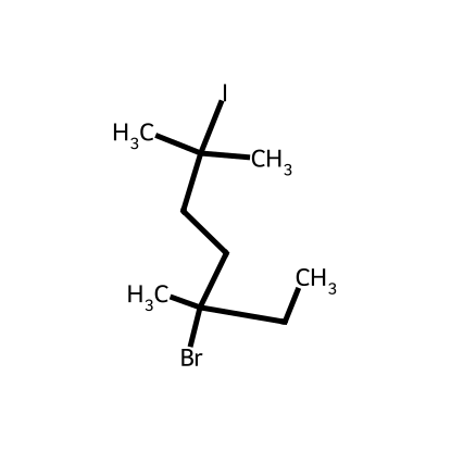 CCC(C)(Br)CCC(C)(C)I